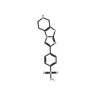 CS(=O)(=O)c1ccc(-c2cn3c4c(sc3n2)CNCC4)cc1